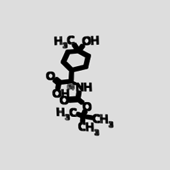 CC1(O)CCC([C@H](NC(=O)OC(C)(C)C)C(=O)O)CC1